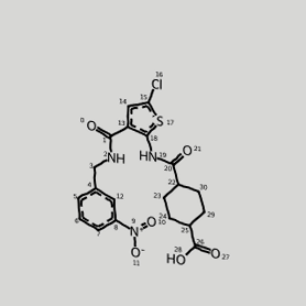 O=C(NCc1cccc([N+](=O)[O-])c1)c1cc(Cl)sc1NC(=O)C1CCC(C(=O)O)CC1